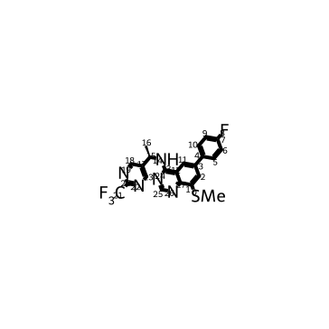 CSc1cc(-c2ccc(F)cc2)cc2c(N[C@H](C)c3cnc(C(F)(F)F)nc3)ncnc12